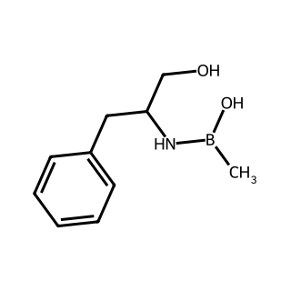 CB(O)NC(CO)Cc1ccccc1